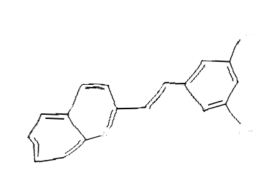 Oc1cc(O)cc(/C=C/c2ccc3ccccc3n2)c1